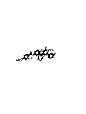 COc1ccc(C(=O)Nc2ccc3c(c2)[C@@]2(CCN=CS2)C2=CC(c4cncc(F)c4)N(N)C(F)=C2O3)nc1